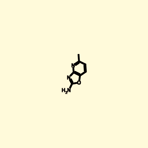 Cc1ccc2oc(N)nc2n1